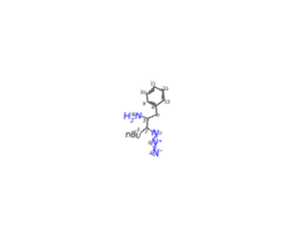 CCCC[C@H](N=[N+]=[N-])C(N)Cc1ccccc1